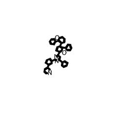 c1ccc(-c2cc(-c3ccc(-c4cccc5oc6ccccc6c45)c4c3oc3ccccc34)nc(-c3cccc(-c4cccnc4)c3)n2)cc1